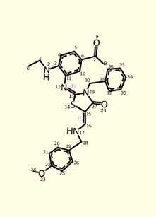 CCNc1ccc(C(C)=O)cc1/N=C1/S/C(=C\NCc2ccc(OC)cc2)C(=O)N1Cc1ccccc1